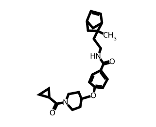 CC1(CCNC(=O)c2ccc(OC3CCN(C(=O)C4CC4)CC3)cc2)CC2C=CC1C2